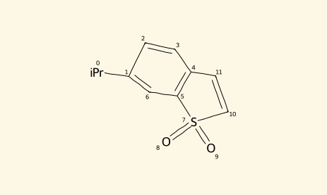 CC(C)c1ccc2c(c1)S(=O)(=O)C=C2